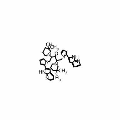 CC1(C)CCCN(C(Cn2cccc2-c2cc3cccnc3[nH]2)C(=O)C(Cn2cccc2-c2cc3cccnc3[nH]2)N2CCCC(C)(C)C2)C1